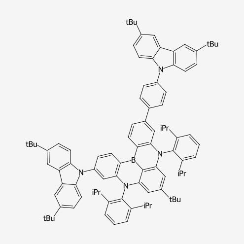 CC(C)c1cccc(C(C)C)c1N1c2cc(-c3ccc(-n4c5ccc(C(C)(C)C)cc5c5cc(C(C)(C)C)ccc54)cc3)ccc2B2c3ccc(-n4c5ccc(C(C)(C)C)cc5c5cc(C(C)(C)C)ccc54)cc3N(c3c(C(C)C)cccc3C(C)C)c3cc(C(C)(C)C)cc1c32